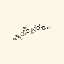 N#Cc1cc(-c2ncnc(Nc3ccc(N4CCN(C5COC5)CC4)c(F)c3)n2)ccc1OC1CCN(C(=O)[C@@H](O)CO)C[C@@H]1F